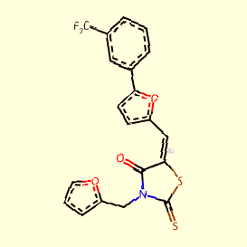 O=C1/C(=C\c2ccc(-c3cccc(C(F)(F)F)c3)o2)SC(=S)N1Cc1ccco1